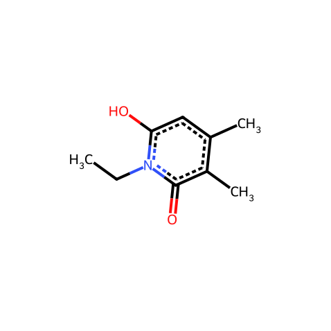 CCn1c(O)cc(C)c(C)c1=O